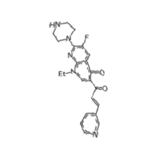 CCn1cc(C(=O)C=Cc2cccnc2)c(=O)c2cc(F)c(N3CCNCC3)nc21